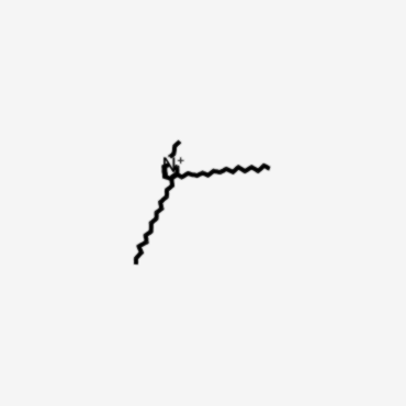 CCCCCCCCCCCCCCCc1cc[n+](CCCC)cc1CCCCCCCCCCCCCCC